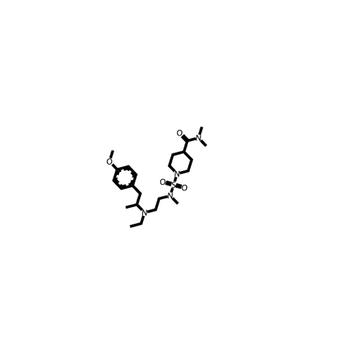 CCN(CCN(C)S(=O)(=O)N1CCC(C(=O)N(C)C)CC1)C(C)Cc1ccc(OC)cc1